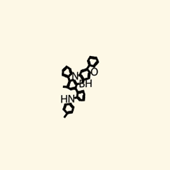 Cc1ccc(Nc2ccccc2-c2cc(C)c3c4ccccc4n4c3c2Bc2cc3oc5ccccc5c3cc2-4)cc1